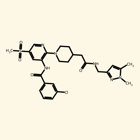 Cc1cc(CNC(=O)CC2CCN(c3ncc(S(C)(=O)=O)cc3NC(=O)c3cccc(Cl)c3)CC2)nn1C